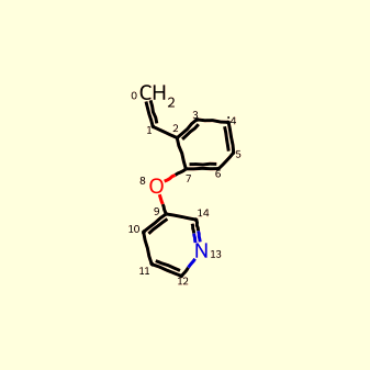 C=Cc1c[c]ccc1Oc1cccnc1